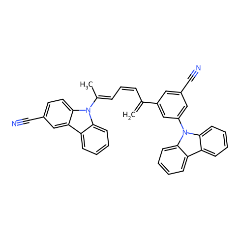 C=C(/C=C\C=C(/C)n1c2ccccc2c2cc(C#N)ccc21)c1cc(C#N)cc(-n2c3ccccc3c3ccccc32)c1